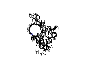 Cc1ccc(-c2csc(-c3cccc4c3nc(O[C@@H]3C[C@H]5C(=O)N[C@]6(C(=O)NS(=O)(=O)N(C)C)C[C@H]6/C=C\CCCCC[C@H](NC(=O)OC(C)(C)C)C(=O)N5C3)n4C(C)C)n2)cc1